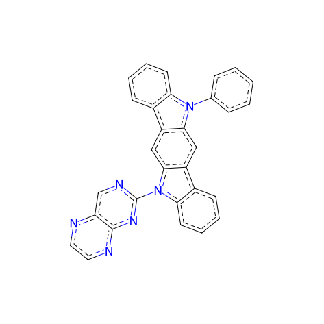 c1ccc(-n2c3ccccc3c3cc4c(cc32)c2ccccc2n4-c2ncc3nccnc3n2)cc1